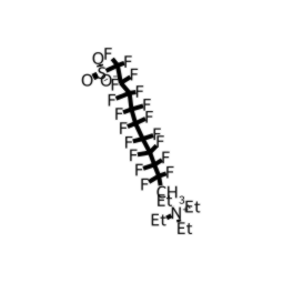 CC(F)(F)C(F)(F)C(F)(F)C(F)(F)C(F)(F)C(F)(F)C(F)(F)C(F)(F)C(F)(F)S(=O)(=O)[O-].CC[N+](CC)(CC)CC